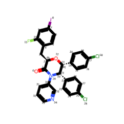 O=C1[C@@H](Cc2ccc(I)cc2F)O[C@H](c2ccc(Cl)cc2)[C@H](c2ccc(Cl)cc2)N1c1cccnc1